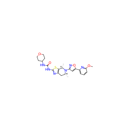 COc1cccc(-c2cc(N3[C@H](C)Cc4nc(NC(=O)NC5CCOCC5)sc4[C@@H]3C)no2)n1